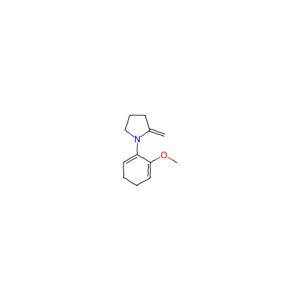 C=C1CCCN1C1=CCCC=C1OC